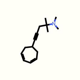 CN(C)C(C)(C)CC#CC1CC=CC=CC1